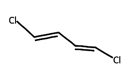 ClC=CC=CCl